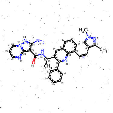 Cc1nn(C)cc1/C=C\c1cccc2cc([C@@H](C)NC(=O)c3c(N)nn4cccnc34)c(-c3ccccc3)nc12